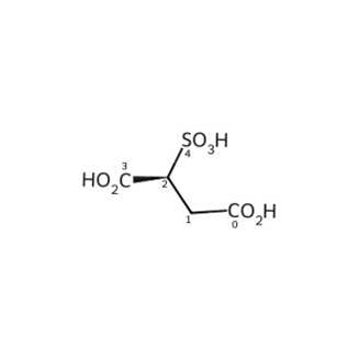 O=C(O)C[C@@H](C(=O)O)S(=O)(=O)O